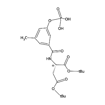 Cc1cc(OP(=O)(O)O)cc(C(=O)N[C@@H](CC(=O)OC(C)(C)C)C(=O)OC(C)(C)C)c1